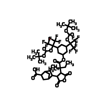 CCC(C)(C(=O)OC1CC(C(OC(=O)OC(C)(C)C)(C(F)(F)F)C(F)(F)F)CC(C(OC(=O)OC(C)(C)C)(C(F)(F)F)C(F)(F)F)C1)C1C(=O)OC(=O)C1C1C2CC(C(=O)O)C(C2)C1C